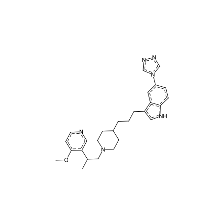 COc1ccncc1C(C)CN1CCC(CCCc2c[nH]c3ccc(-n4cnnc4)cc23)CC1